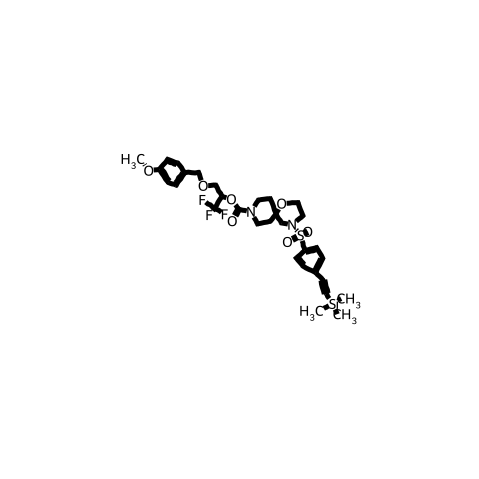 COc1ccc(COCC(OC(=O)N2CCC3(CC2)CN(S(=O)(=O)c2ccc(C#C[Si](C)(C)C)cc2)CCO3)C(F)(F)F)cc1